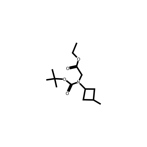 CCOC(=O)CN(C(=O)OC(C)(C)C)C1CC(C)C1